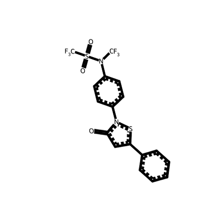 O=c1cc(-c2ccccc2)sn1-c1ccc(N(C(F)(F)F)S(=O)(=O)C(F)(F)F)cc1